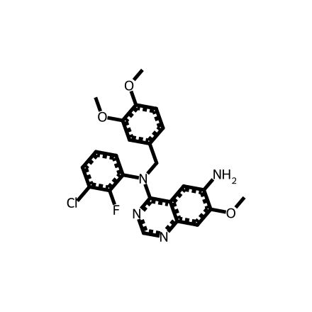 COc1cc2ncnc(N(Cc3ccc(OC)c(OC)c3)c3cccc(Cl)c3F)c2cc1N